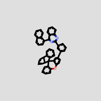 C1=CC2c3ccccc3C3(c4ccccc4Oc4ccc(-c5cccc(-c6nc(-c7cccc8ccccc78)c7ccccc7n6)c5)cc43)C2C=C1